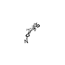 CCc1ccccc1NC(=O)NCC(O)COc1ccc(C#N)cc1